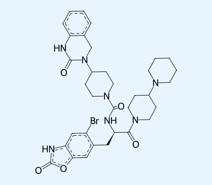 O=C(N[C@H](Cc1cc2oc(=O)[nH]c2cc1Br)C(=O)N1CCC(N2CCCCC2)CC1)N1CCC(N2Cc3ccccc3NC2=O)CC1